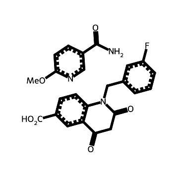 COc1ccc(C(N)=O)cn1.O=C(O)c1ccc2c(c1)C(=O)CC(=O)N2Cc1cccc(F)c1